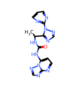 CC(NC(=O)Nc1ccnc2ncnn12)c1ncnn1-c1ncccn1